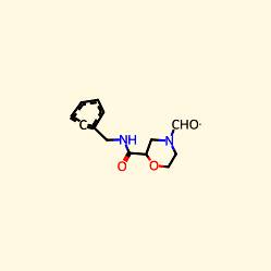 O=[C]N1CCOC(C(=O)NCc2ccccc2)C1